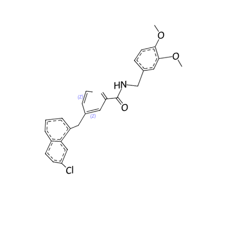 C=C(/C=C(\C=C/C)Cc1cccc2ccc(Cl)cc12)C(=O)NCc1ccc(OC)c(OC)c1